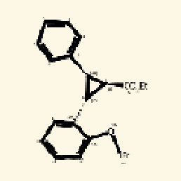 CCOC(=O)[C@@H]1[C@H](c2ccccc2)[C@H]1c1ccccc1OC(C)C